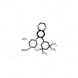 CCCCCN1CCN(c2cc3c(cc2C2CC(C)(C)CC(C)(C)C2)OCCO3)CC1.Cl